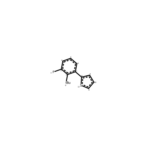 CC(C)(C)c1c(F)cccc1-c1cccs1